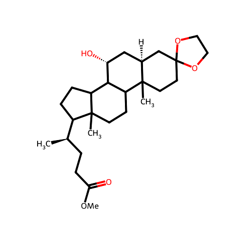 COC(=O)CC[C@@H](C)C1CCC2C3C(CCC21C)C1(C)CCC2(C[C@@H]1C[C@H]3O)OCCO2